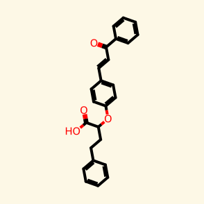 O=C(C=Cc1ccc(OC(CCc2ccccc2)C(=O)O)cc1)c1ccccc1